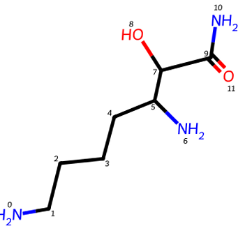 NCCCCC(N)C(O)C(N)=O